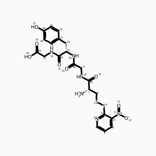 N[C@@H](CSSc1ncccc1[N+](=O)[O-])C(=O)NCC(=O)N[C@@H](Cc1ccc(O)cc1)C(=O)NCC(=O)O